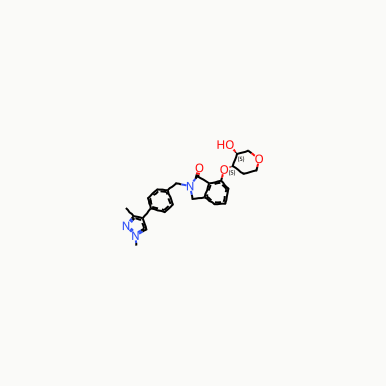 Cc1nn(C)cc1-c1ccc(CN2Cc3cccc(O[C@H]4CCOC[C@@H]4O)c3C2=O)cc1